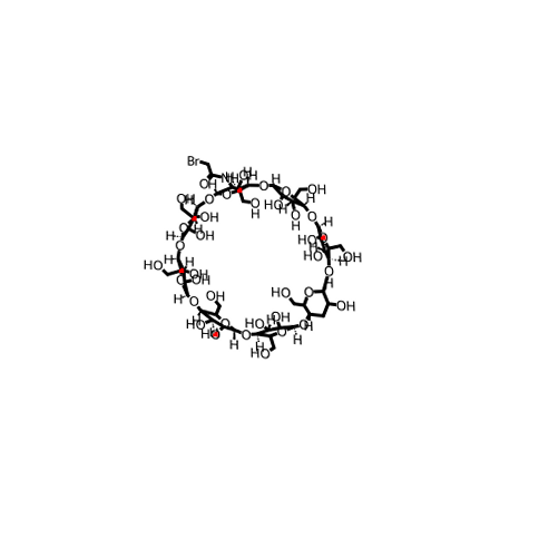 O=C(CBr)NC1[C@@H]2OC(CO)[C@@H](O[C@H]3OC(CO)[C@@H](O[C@H]4OC(CO)[C@@H](O[C@H]5OC(CO)[C@H](CC5O)O[C@H]5OC(CO)[C@@H](O[C@H]6OC(CO)[C@@H](O[C@H]7OC(CO)[C@@H](O[C@H]8OC(CO)[C@@H](O2)[C@H](O)C8O)[C@H](O)C7O)[C@H](O)C6O)[C@H](O)C5O)[C@H](O)C4O)[C@H](O)C3O)[C@@H]1O